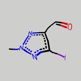 Cn1nc(I)c(C=O)n1